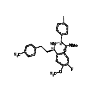 CNC(=O)[C@H](N[C@H](CCc1ccc(C(F)(F)F)cc1)c1ccc(F)c(OC(F)(F)F)c1)c1ccc(C)cc1